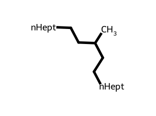 [CH2]CCCCCCCCC(C)CCCCCCCC[CH2]